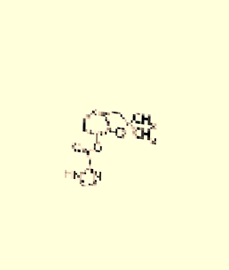 CC1(C)Cc2cccc(OC(=O)c3ncc[nH]3)c2O1